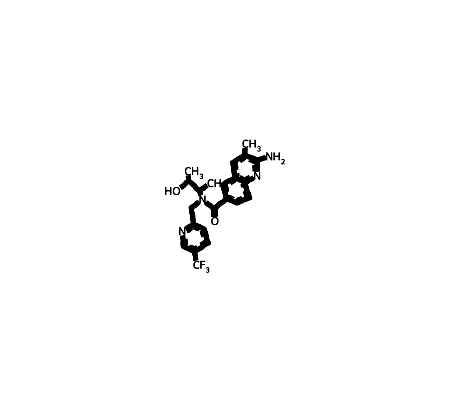 Cc1cc2cc(C(=O)N(Cc3ccc(C(F)(F)F)cn3)C(C)C(C)O)ccc2nc1N